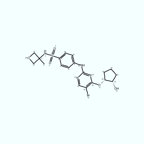 CC1(NS(=O)(=O)c2ccc(Nc3ncc(Br)c(O[C@@H]4CCC[C@@H]4O)n3)cc2)COC1